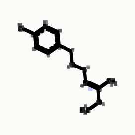 CO/C(C)=N/SOCc1ccc(Cl)nc1